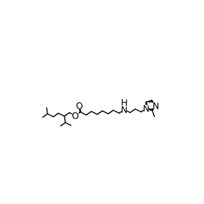 Cc1nccn1CCCNCCCCCCCC(=O)OCC(CCC(C)C)C(C)C